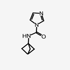 O=C(NC12CC(C1)C2)n1ccnc1